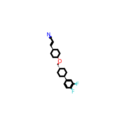 N#CC=C[C@H]1CC[C@H](OC[C@H]2CC[C@H](c3ccc(F)c(F)c3)CC2)CC1